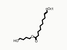 CCCCCCCCC=CCCCCCCCC(=O)OCCCCO